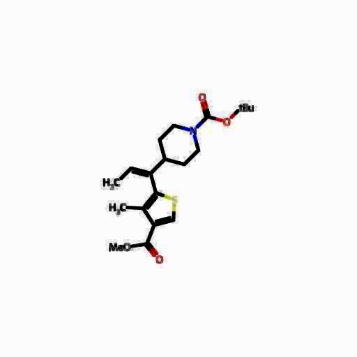 C/C=C(\c1scc(C(=O)OC)c1C)C1CCN(C(=O)OC(C)(C)C)CC1